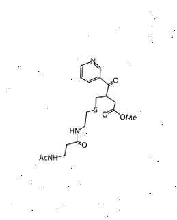 COC(=O)CC(CSCCNC(=O)CCNC(C)=O)C(=O)c1cccnc1